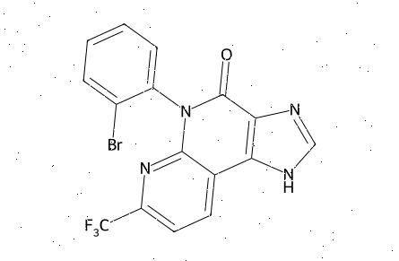 O=c1c2nc[nH]c2c2ccc(C(F)(F)F)nc2n1-c1ccccc1Br